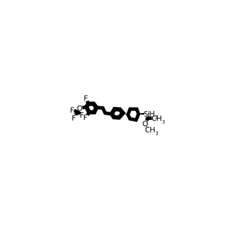 COC(C)[SiH2][C@H]1CC[C@H](c2ccc(CCc3cc(F)c(OC(F)(F)F)c(F)c3)cc2)CC1